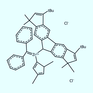 CC1=CC(C)[C]([Zr+2](=[C](c2ccccc2)c2ccccc2)[CH]2c3cc4c(cc3-c3cc5c(cc32)C(C)(C)C=C5C(C)(C)C)C(C(C)(C)C)=CC4(C)C)=C1.[Cl-].[Cl-]